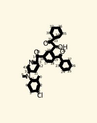 Cc1cc(Cl)ccc1N(C)c1ccc(C(=O)c2ccc(C(=O)c3ccccc3)c(C(O)C(=O)c3ccccc3)c2)nc1